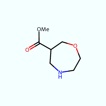 COC(=O)C1CNCCOC1